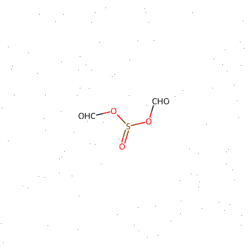 O=COS(=O)OC=O